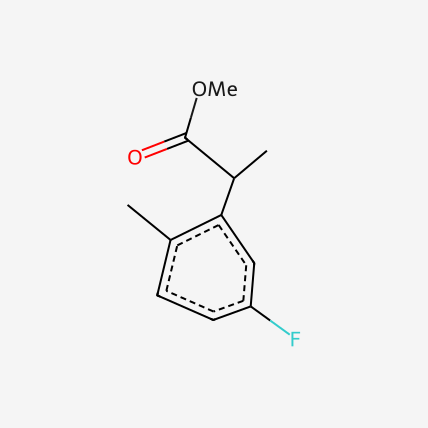 COC(=O)C(C)c1cc(F)ccc1C